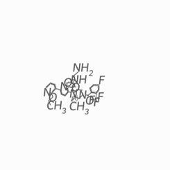 CCOc1ncccc1-c1ccc(N2CCN(C(=O)c3ccc(F)cc3C(F)(F)F)C[C@H]2CC)c(S(=O)(=O)NCCN)n1